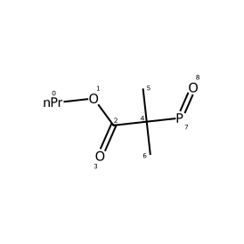 CCCOC(=O)C(C)(C)P=O